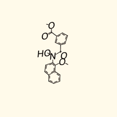 COC(=O)c1cccc(C(=O)N(O)c2ccc3ccccc3c2OC)c1